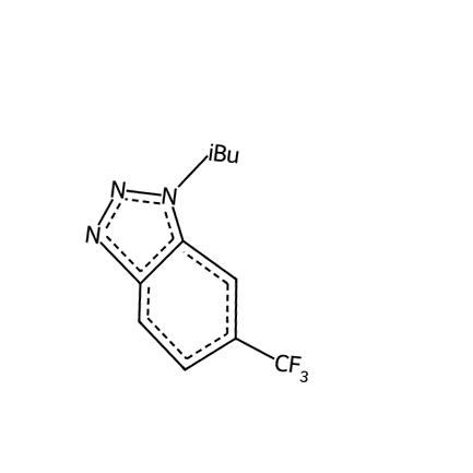 CCC(C)n1nnc2ccc(C(F)(F)F)cc21